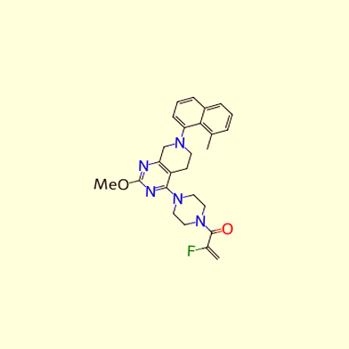 C=C(F)C(=O)N1CCN(c2nc(OC)nc3c2CCN(c2cccc4cccc(C)c24)C3)CC1